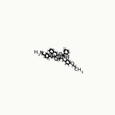 CCCOc1ccc(CC(NC(=O)c2ccccc2)C(=O)NC(Cc2ccccc2)C(=O)NCc2ccc(CN)cc2)cc1